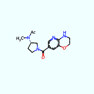 CC(=O)N(C)[C@H]1CCN(C(=O)c2cnc3c(c2)OCCN3)C1